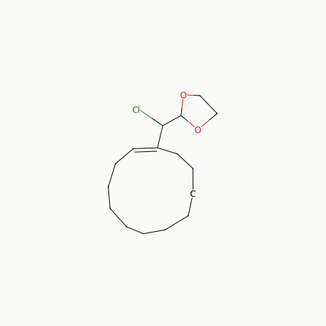 ClC(/C1=C/CCCCCCCCCC1)C1OCCO1